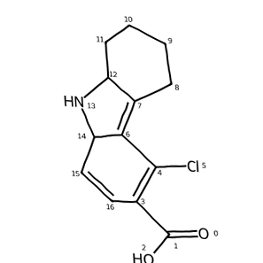 O=C(O)C1=C(Cl)C2=C3CCCCC3NC2C=C1